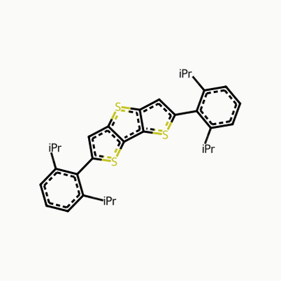 CC(C)c1cccc(C(C)C)c1-c1cc2sc3cc(-c4c(C(C)C)cccc4C(C)C)sc3c2s1